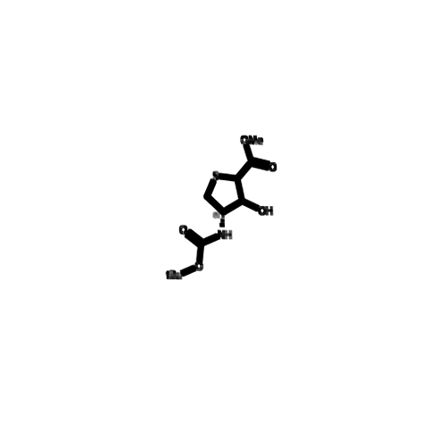 COC(=O)C1SC[C@@H](NC(=O)OC(C)(C)C)C1O